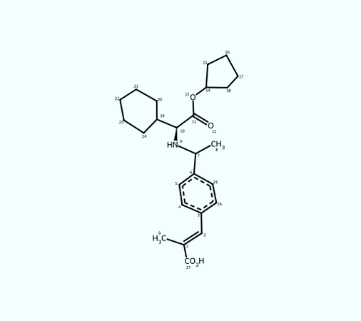 C/C(=C\c1ccc(C(C)N[C@H](C(=O)OC2CCCC2)C2CCCCC2)cc1)C(=O)O